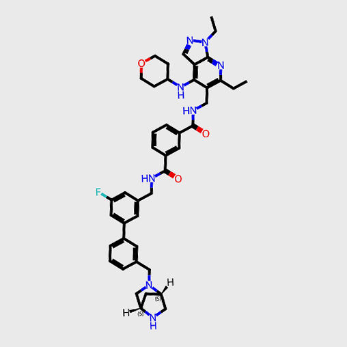 CCc1nc2c(cnn2CC)c(NC2CCOCC2)c1CNC(=O)c1cccc(C(=O)NCc2cc(F)cc(-c3cccc(CN4C[C@@H]5C[C@H]4CN5)c3)c2)c1